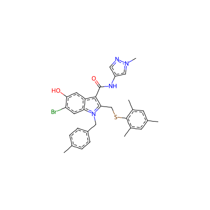 Cc1ccc(Cn2c(CSc3c(C)cc(C)cc3C)c(C(=O)Nc3cnn(C)c3)c3cc(O)c(Br)cc32)cc1